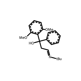 COc1cccc(OC)c1C(O)(CC=NC(C)(C)C)c1ccccc1